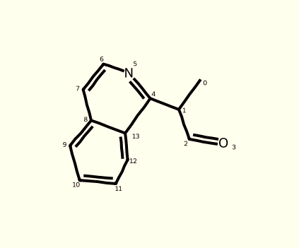 CC(C=O)c1nccc2ccccc12